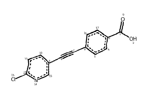 O=C(O)c1ccc(C#Cc2ccc(Cl)nc2)cc1